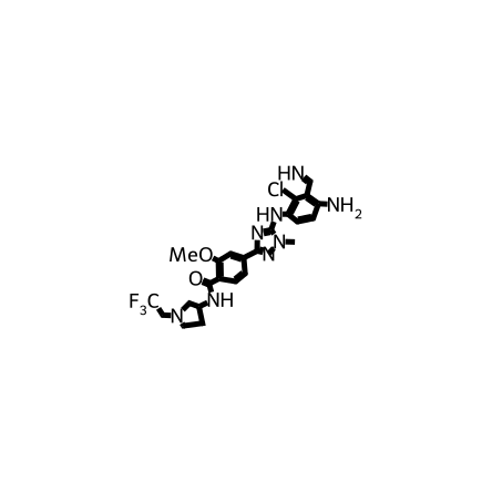 COc1cc(-c2nc(Nc3ccc(N)c(C=N)c3Cl)n(C)n2)ccc1C(=O)NC1CCN(CC(F)(F)F)C1